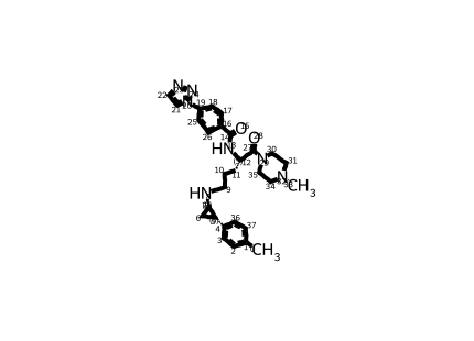 Cc1ccc([C@@H]2C[C@H]2NCCC[C@H](NC(=O)c2ccc(-n3ccnn3)cc2)C(=O)N2CCN(C)CC2)cc1